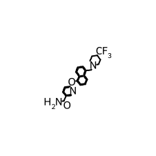 NC(=O)c1ccc(Oc2cccc3c(CN4CCC(C(F)(F)F)CC4)cccc23)nc1